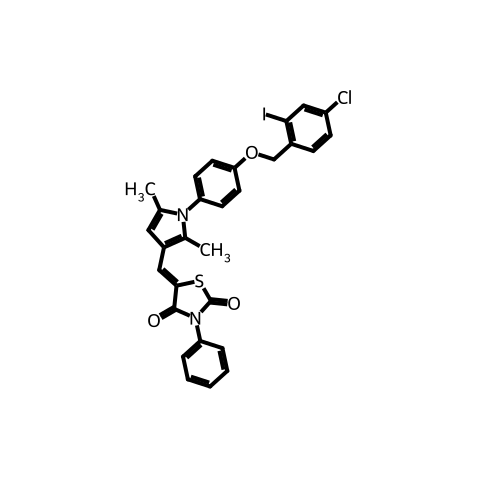 Cc1cc(C=C2SC(=O)N(c3ccccc3)C2=O)c(C)n1-c1ccc(OCc2ccc(Cl)cc2I)cc1